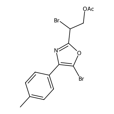 CC(=O)OCC(Br)c1nc(-c2ccc(C)cc2)c(Br)o1